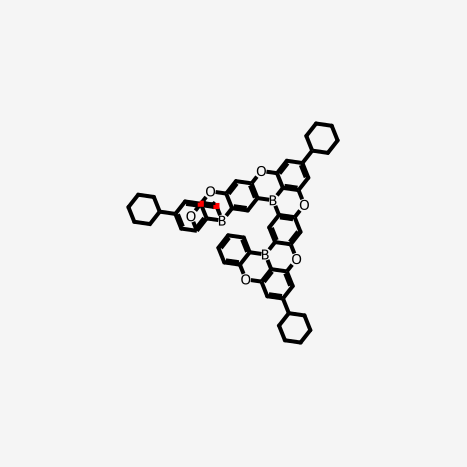 c1ccc2c(c1)Oc1cc(C3CCCCC3)cc3c1B2c1cc2c(cc1O3)Oc1cc(C3CCCCC3)cc3c1B2c1cc2c(cc1O3)Oc1cc(C3CCCCC3)cc3c1B2c1ccccc1O3